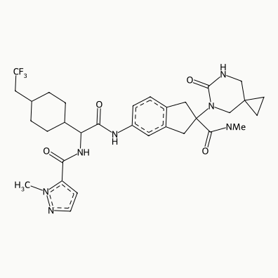 CNC(=O)C1(N2CC3(CC3)CNC2=O)Cc2ccc(NC(=O)C(NC(=O)c3ccnn3C)C3CCC(CC(F)(F)F)CC3)cc2C1